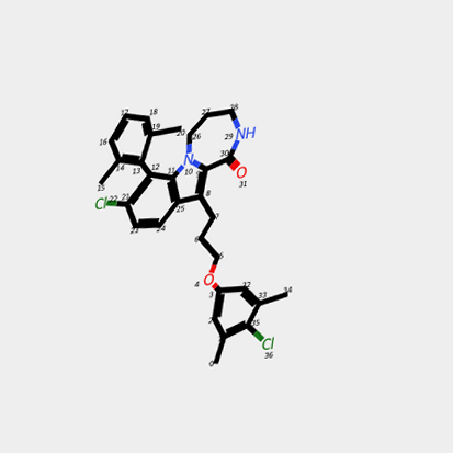 Cc1cc(OCCCc2c3n(c4c(-c5c(C)cccc5C)c(Cl)ccc24)CCCNC3=O)cc(C)c1Cl